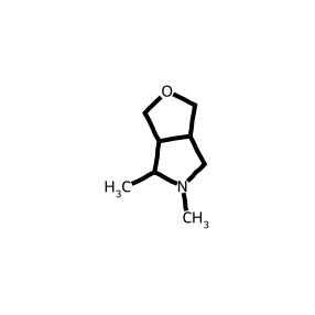 CC1C2COCC2CN1C